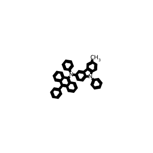 Cc1ccc2c(c1)c1cc(N(c3ccccc3)c3c4ccccc4c(-c4ccccc4)c4ccccc34)ccc1n2-c1ccccc1